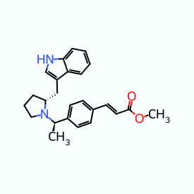 COC(=O)C=Cc1ccc([C@@H](C)N2CCC[C@@H]2Cc2c[nH]c3ccccc23)cc1